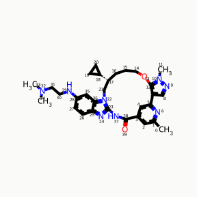 Cc1cc2cc(n1)-c1cnn(C)c1OCCC[C@@H](C1CC1)Cn1c(nc3ccc(NCCN(C)C)cc31)NC2=O